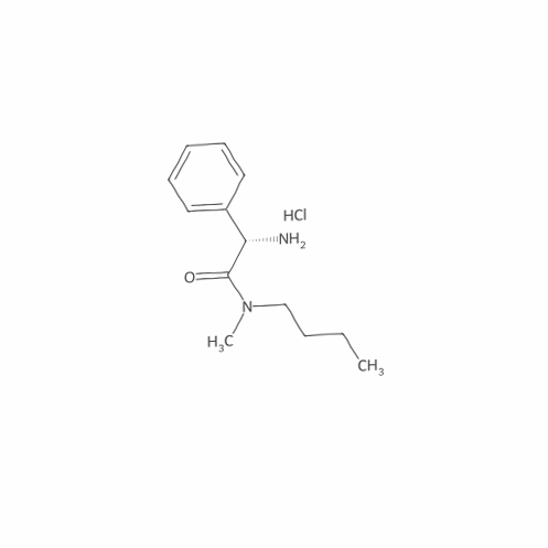 CCCCN(C)C(=O)[C@@H](N)c1ccccc1.Cl